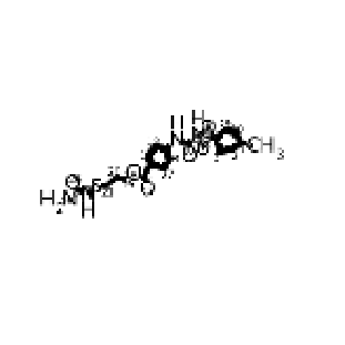 Cc1ccc(S(=O)(=O)NC(=O)Nc2ccc(C(=O)OCCCSNC(N)=O)cc2)cc1